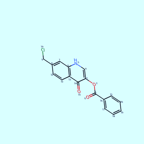 O=C(Oc1c[nH]c2cc(CCl)ccc2c1=O)c1ccccc1